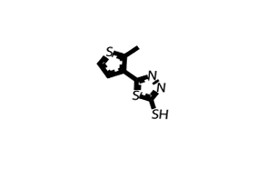 Cc1sccc1-c1nnc(S)s1